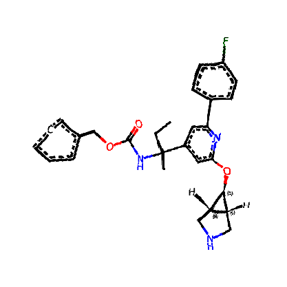 CCC(C)(NC(=O)OCc1ccccc1)c1cc(O[C@H]2[C@@H]3CNC[C@@H]32)nc(-c2ccc(F)cc2)c1